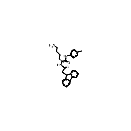 Cc1ccc(NC(=O)[C@H](CCCCN)NC(=O)CC2c3ccccc3-c3ccccc32)cc1